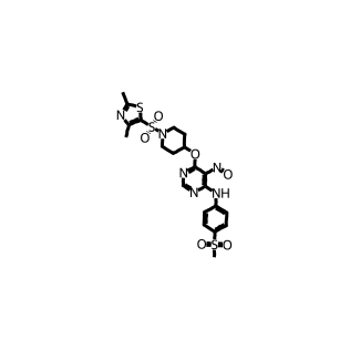 Cc1nc(C)c(S(=O)(=O)N2CCC(Oc3ncnc(Nc4ccc(S(C)(=O)=O)cc4)c3N=O)CC2)s1